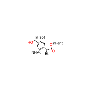 CCCCCCCC(O)c1ccc(C(CC)C(=O)OCCCCC)c(NC(C)=O)c1